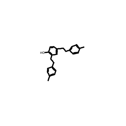 Cc1ccc(CCc2ccc(O)c(CCc3ccc(C)cc3)c2)cc1